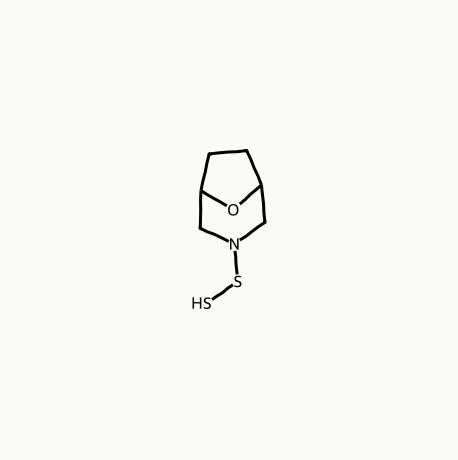 SSN1CC2CCC(C1)O2